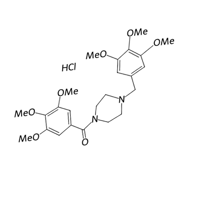 COc1cc(CN2CCN(C(=O)c3cc(OC)c(OC)c(OC)c3)CC2)cc(OC)c1OC.Cl